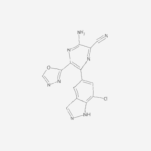 N#Cc1nc(-c2cc(Cl)c3[nH]ncc3c2)c(-c2nnco2)nc1N